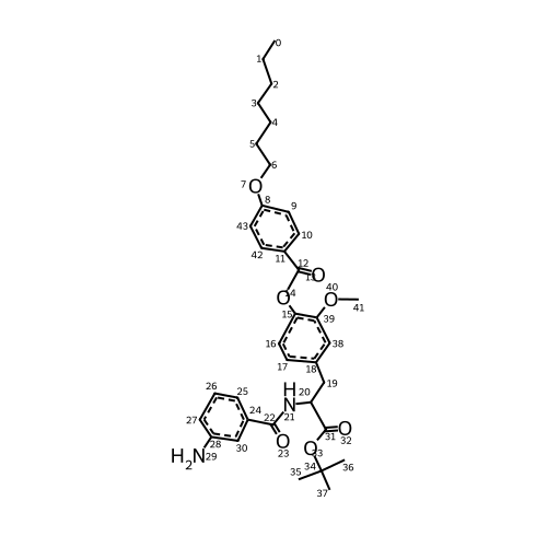 CCCCCCCOc1ccc(C(=O)Oc2ccc(CC(NC(=O)c3cccc(N)c3)C(=O)OC(C)(C)C)cc2OC)cc1